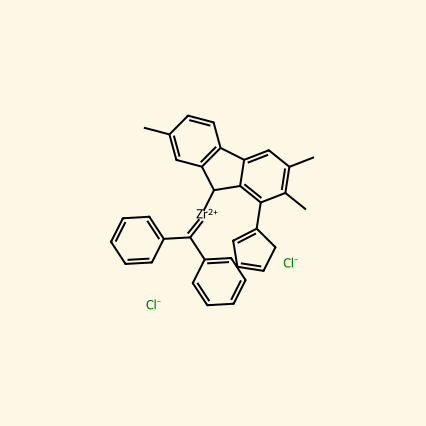 Cc1ccc2c(c1)[CH]([Zr+2]=[C](c1ccccc1)c1ccccc1)c1c-2cc(C)c(C)c1C1=CC=CC1.[Cl-].[Cl-]